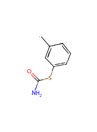 [CH2]c1cccc(SC(N)=O)c1